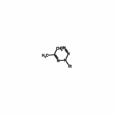 CCN(N=N)N=C(C)C